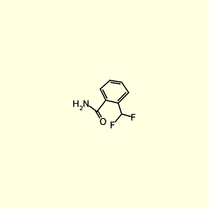 NC(=O)c1ccccc1C(F)F